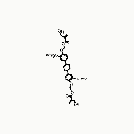 C=C(CO)C(=O)OCOc1ccc(C2CCC(c3ccc(OCOC(=O)C(=C)CO)c(CCCCCCC)c3)CC2)cc1CCCCCCC